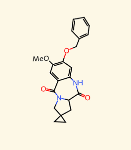 COc1cc2c(cc1OCc1ccccc1)NC(=O)C1CC3(CC3)CN1C2=O